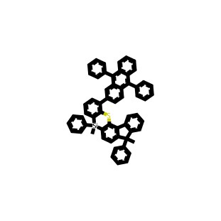 CC1(c2ccccc2)c2ccccc2-c2c1ccc1c2Sc2c(-c3ccc4c(-c5ccccc5)c5ccccc5c(-c5ccccc5)c4c3)cccc2[Si]1(C)c1ccccc1